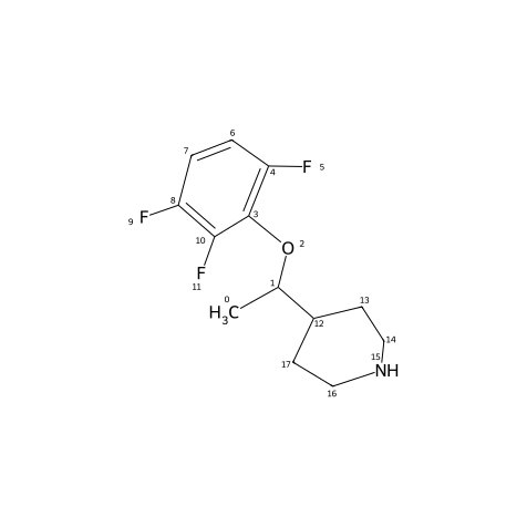 CC(Oc1c(F)ccc(F)c1F)C1CCNCC1